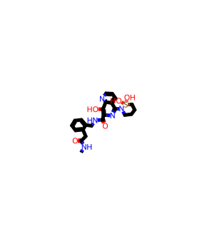 CNC(=O)Cc1ccccc1CNC(=O)c1nc(N2CCCCS2(O)O)c2cccnc2c1O